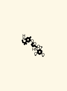 COc1cc(OC)c(NC(=O)c2ccc(Oc3cc4c(cc3C)NCCC4(C)C)o2)c(OC)c1